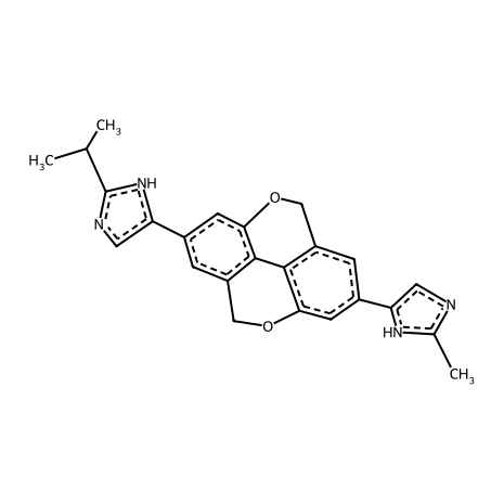 Cc1ncc(-c2cc3c4c(c2)OCc2cc(-c5cnc(C(C)C)[nH]5)cc(c2-4)OC3)[nH]1